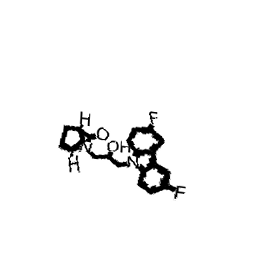 O=C1[C@H]2CC[C@H](C2)N1CC(O)Cn1c2ccc(F)cc2c2cc(F)ccc21